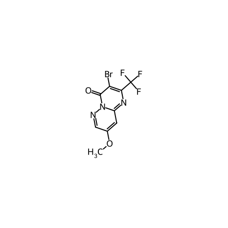 COc1cnn2c(=O)c(Br)c(C(F)(F)F)nc2c1